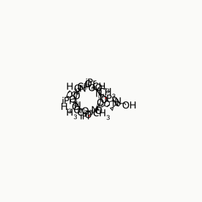 CC(C)C[C@H]1C(=O)O[C@H](Cc2ccc(Cn3nc(CO)cc3C3CC3)cc2)C(=O)N(C)[C@@H](CC(C)C)C(=O)O[C@H](C)C(=O)N(C)[C@@H](CC(C)C)C(=O)O[C@H](Cc2ccccc2)C(=O)N(C)[C@@H](CC(C)C)C(=O)O[C@H](C)C(=O)N1C